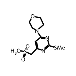 CSc1nc(CS(C)(=O)=O)cc(N2CCOCC2)n1